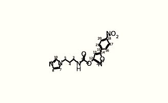 O=C(NCCCn1ccnc1)Oc1cc(-c2ccc([N+](=O)[O-])cc2)on1